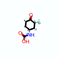 O=C(O)N[C@@H]1CCC(=O)[C@@H](F)C1